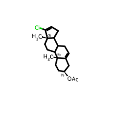 CC(=O)O[C@H]1CC[C@@]2(C)C(=CCC3C2CC[C@]2(C)C(Cl)=CCC32)C1